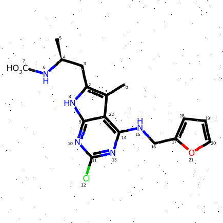 Cc1c(C[C@H](C)NC(=O)O)[nH]c2nc(Cl)nc(NCc3ccco3)c12